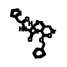 O=C(Cc1cccs1)NC1C(=O)N2C(C(=O)OCc3ccccc3)C(CBr)=CS[C@@H]12